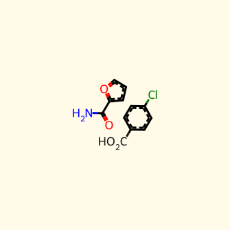 NC(=O)c1ccco1.O=C(O)c1ccc(Cl)cc1